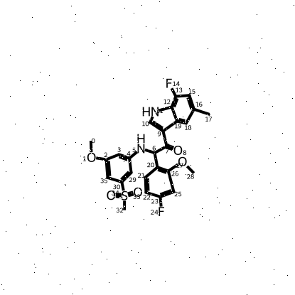 COc1cc(NC(C(=O)c2c[nH]c3c(F)cc(C)cc23)c2ccc(F)cc2OC)cc(S(C)(=O)=O)c1